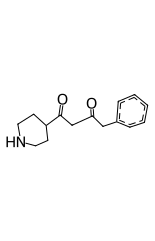 O=C(CC(=O)C1CCNCC1)Cc1ccccc1